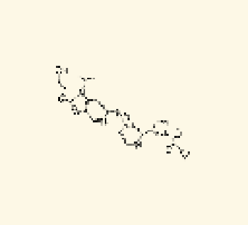 CC(C)n1c(OCCO)nc2cnc(Nc3ccnc(-c4cnn(S(=O)(=O)C5CC5)c4)n3)cc21